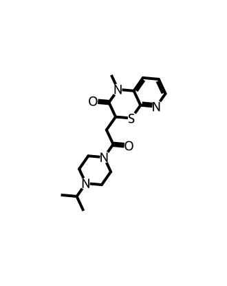 CC(C)N1CCN(C(=O)CC2Sc3ncccc3N(C)C2=O)CC1